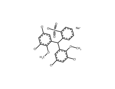 COc1c(Cl)cc(Cl)cc1C(c1ccccc1S(=O)(=O)[O-])c1cc(Cl)cc(Cl)c1OC.[Na+]